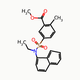 CCN(c1cccc2ccccc12)S(=O)(=O)c1ccc(C)c(C(=O)OC)c1